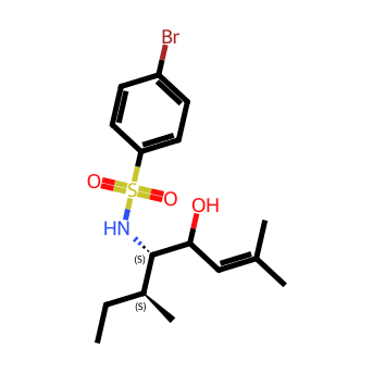 CC[C@H](C)[C@H](NS(=O)(=O)c1ccc(Br)cc1)C(O)C=C(C)C